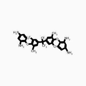 Cc1cc(C(c2cc(C)c(Oc3ccc(N)cc3N)c(C)c2)(C(F)(F)F)C(F)(F)F)cc(C)c1Oc1ccc(N)cc1N